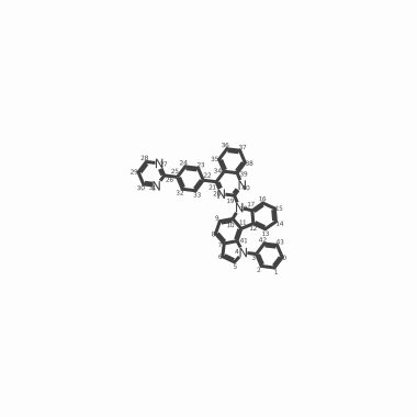 c1ccc(-n2ccc3ccc4c(c5ccccc5n4-c4nc(-c5ccc(-c6ncccn6)cc5)c5ccccc5n4)c32)cc1